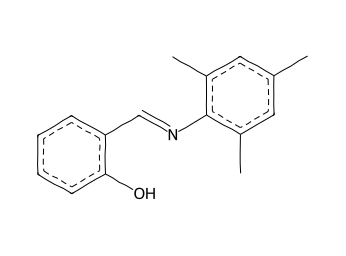 Cc1cc(C)c(N=Cc2ccccc2O)c(C)c1